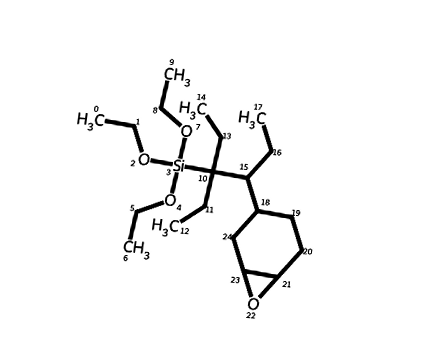 CCO[Si](OCC)(OCC)C(CC)(CC)C(CC)C1CCC2OC2C1